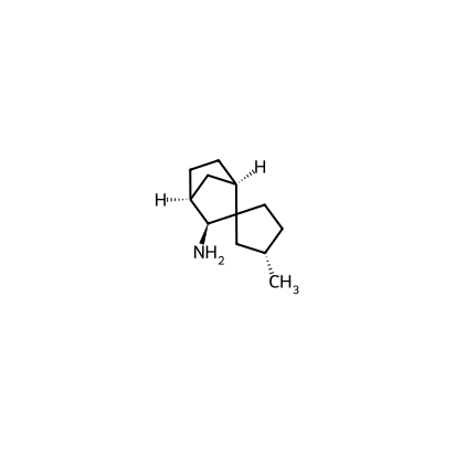 C[C@H]1CCC2(C1)[C@@H]1CC[C@@H](C1)[C@@H]2N